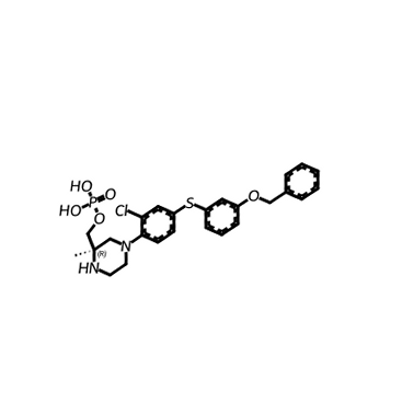 C[C@]1(COP(=O)(O)O)CN(c2ccc(Sc3cccc(OCc4ccccc4)c3)cc2Cl)CCN1